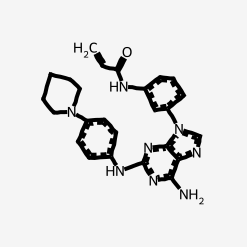 C=CC(=O)Nc1cccc(-n2cnc3c(N)nc(Nc4ccc(N5CCCCC5)cc4)nc32)c1